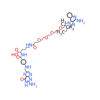 CCCCc1nc2c(N)nc3ccccc3c2n1CC(C)(C)COCCCOCCOCCOCCC(=O)NCCCCC(NC(=O)c1ccc(NCc2cnc3nc(N)[nH]c(=O)c3n2)cc1)C(=O)O